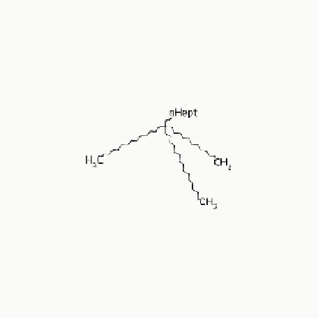 C=CCCCCCCCCCCCCCCC(C=CCCCCCCC)(CCCCCCCCCCC=C)CCCCCCCCCCCCC=C